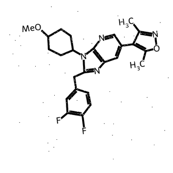 COC1CCC(n2c(Cc3ccc(F)c(F)c3)nc3cc(-c4c(C)noc4C)cnc32)CC1